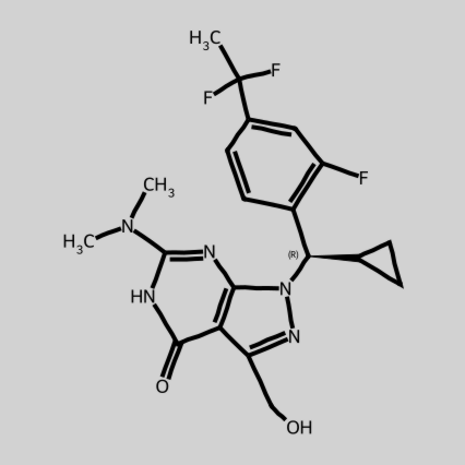 CN(C)c1nc2c(c(CO)nn2[C@@H](c2ccc(C(C)(F)F)cc2F)C2CC2)c(=O)[nH]1